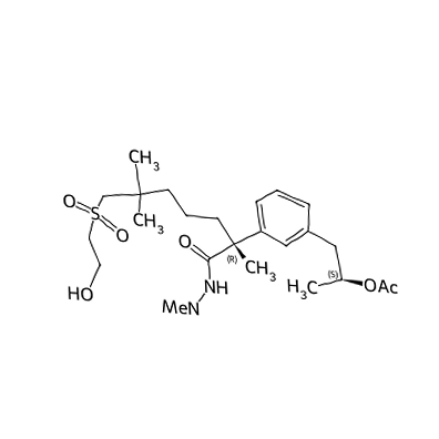 CNNC(=O)[C@](C)(CCCC(C)(C)CS(=O)(=O)CCO)c1cccc(C[C@H](C)OC(C)=O)c1